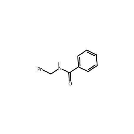 CC(C)CNC(=O)c1c[c]ccc1